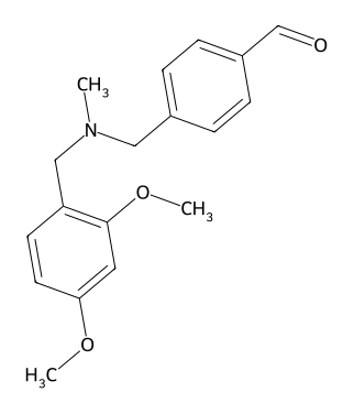 COc1ccc(CN(C)Cc2ccc(C=O)cc2)c(OC)c1